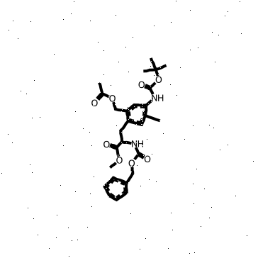 COC(=O)C(Cc1cc(C)c(NC(=O)OC(C)(C)C)cc1COC(C)=O)NC(=O)OCc1ccccc1